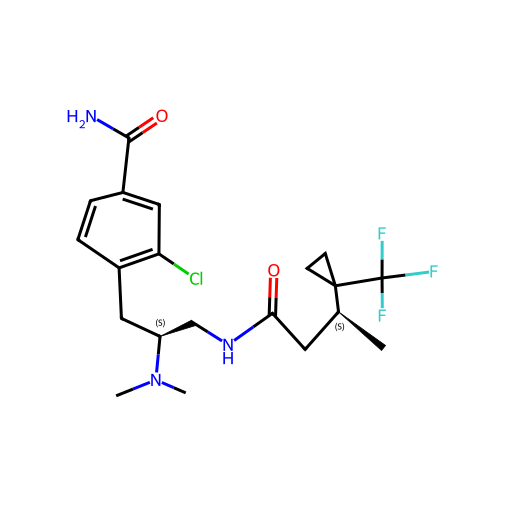 C[C@@H](CC(=O)NC[C@H](Cc1ccc(C(N)=O)cc1Cl)N(C)C)C1(C(F)(F)F)CC1